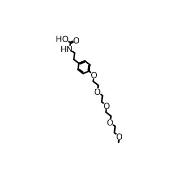 COCCOCCOCCOCCOc1ccc(CCNC(=O)O)cc1